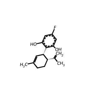 C=C(C)[C@@H]1CCC(C)=C[C@@H]1c1c(O)cc(F)cc1O